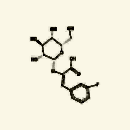 O=C(O)/C(=C\c1cccc(F)c1)O[C@H]1O[C@@H](CO)[C@@H](O)[C@H](O)[C@H]1O